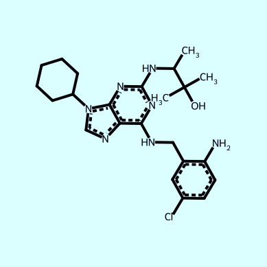 CC(Nc1nc(NCc2cc(Cl)ccc2N)c2ncn(C3CCCCC3)c2n1)C(C)(C)O